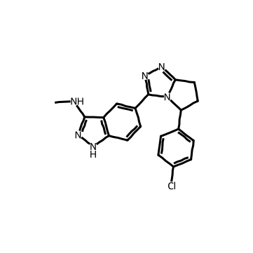 CNc1n[nH]c2ccc(-c3nnc4n3C(c3ccc(Cl)cc3)CC4)cc12